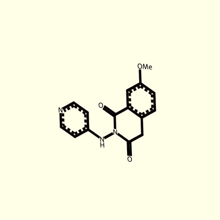 COc1ccc2c(c1)C(=O)N(Nc1ccncc1)C(=O)C2